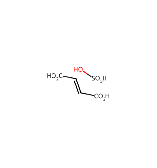 O=C(O)/C=C/C(=O)O.O=S(=O)(O)O